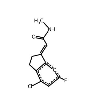 CNC(=O)C=C1CCc2c(Cl)cc(F)cc21